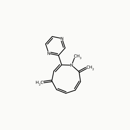 C=c1ccccc(=C)n(C)c(-c2cnccn2)c1